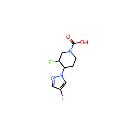 O=C(O)N1CCC(n2cc(I)cn2)C(F)C1